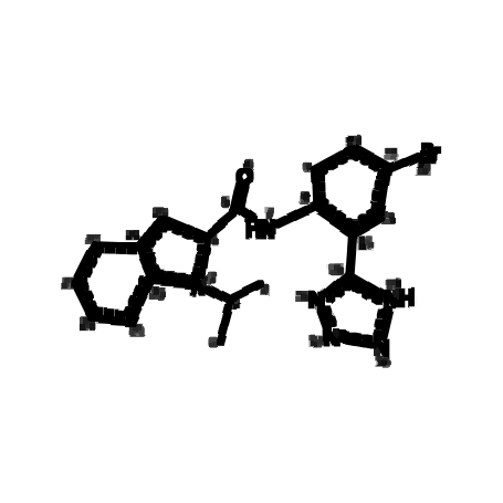 CC(C)n1c(C(=O)Nc2ccc(Br)cc2-c2nnn[nH]2)cc2ccccc21